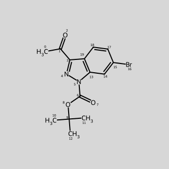 CC(=O)c1nn(C(=O)OC(C)(C)C)c2cc(Br)ccc12